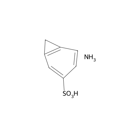 N.O=S(=O)(O)c1ccc2c(c1)C2